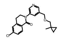 CC1(COCc2cncc(N3CCc4cc(Cl)ccc4C3=O)c2)CC1